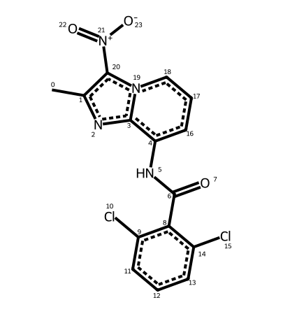 Cc1nc2c(NC(=O)c3c(Cl)cccc3Cl)cccn2c1[N+](=O)[O-]